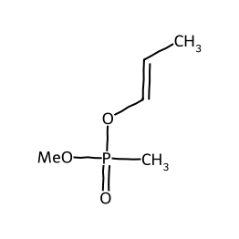 CC=COP(C)(=O)OC